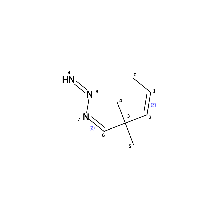 C/C=C\C(C)(C)/C=N\N=N